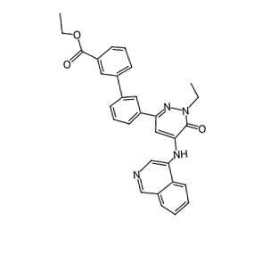 CCOC(=O)c1cccc(-c2cccc(-c3cc(Nc4cncc5ccccc45)c(=O)n(CC)n3)c2)c1